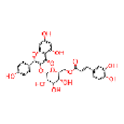 O=C(/C=C/c1ccc(O)c(O)c1)OCC1O[C@@H](Oc2c(-c3ccc(O)cc3)oc3cc(O)cc(O)c3c2=O)[C@@H](O)C(O)[C@@H]1O